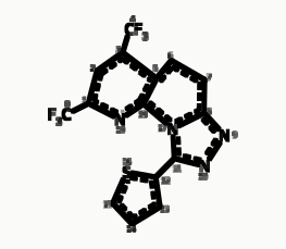 FC(F)(F)c1cc(C(F)(F)F)c2ccc3nnc(-c4cccs4)n3c2n1